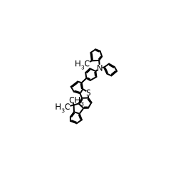 Cc1ccccc1N(c1ccccc1)c1ccc(-c2cccc3c2sc2ccc4c(c23)C(C)(C)c2ccccc2-4)cc1